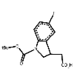 CC(C)(C)OC(=O)N1CC(CC(=O)O)c2cc(F)ccc21